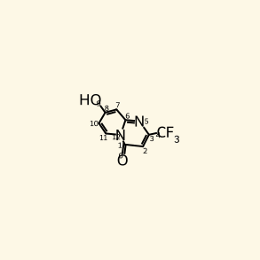 O=c1cc(C(F)(F)F)nc2cc(O)ccn12